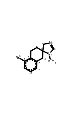 CN1C=NCC12CCc1c(Br)cccc1C2